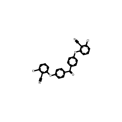 N#Cc1c(Cl)cccc1Oc1ccc(C(=O)c2ccc(Oc3cccc(Cl)c3C#N)cc2)cc1